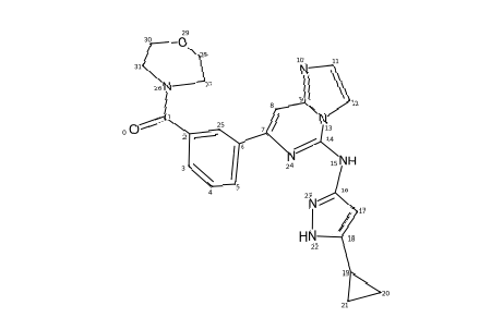 O=C(c1cccc(-c2cc3nccn3c(Nc3cc(C4CC4)[nH]n3)n2)c1)N1CCOCC1